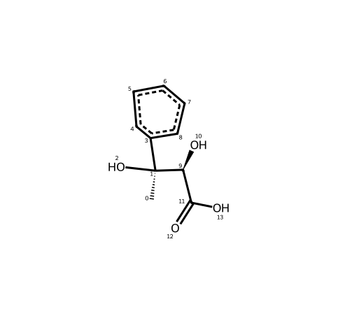 C[C@](O)(c1ccccc1)[C@@H](O)C(=O)O